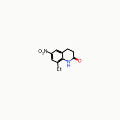 CCc1cc([N+](=O)[O-])cc2c1NC(=O)CC2